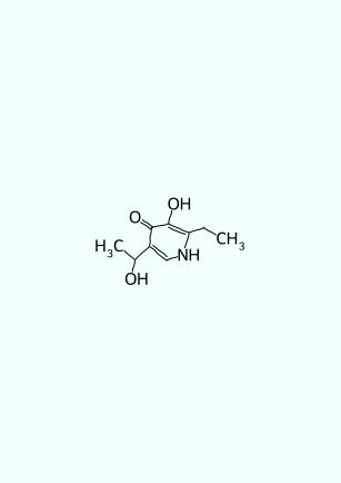 CCc1[nH]cc(C(C)O)c(=O)c1O